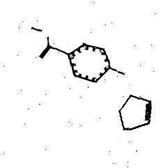 COC(=O)c1ccc(O[C@@H]2C=C[C@H](Cl)C2)cc1